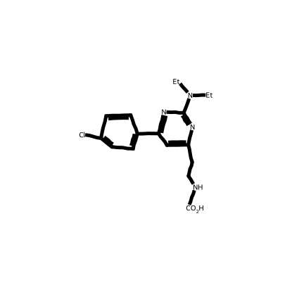 CCN(CC)c1nc(CCNC(=O)O)cc(-c2ccc(Cl)cc2)n1